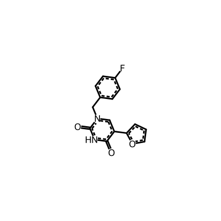 O=c1[nH]c(=O)n(Cc2ccc(F)cc2)cc1-c1ccco1